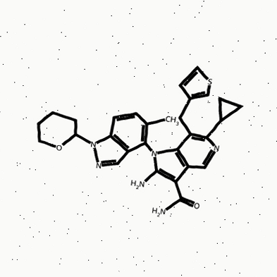 Cc1ccc2c(cnn2C2CCCCO2)c1-n1c(N)c(C(N)=O)c2cnc(C3CC3)c(Cc3ccsc3)c21